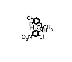 CC(C)(Cc1ccc(Cl)c(F)c1)Nc1ccc([N+](=O)[O-])cc1Cl